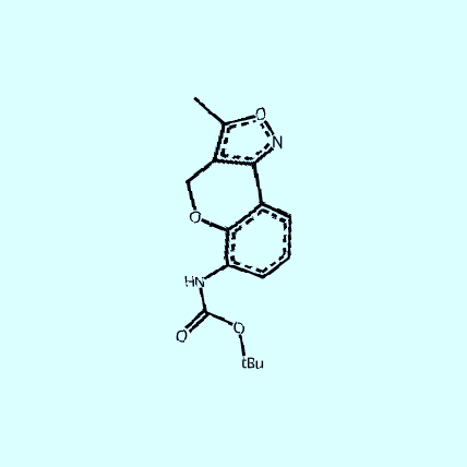 Cc1onc2c1COc1c(NC(=O)OC(C)(C)C)cccc1-2